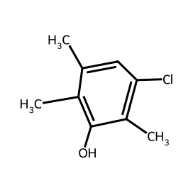 Cc1cc(Cl)c(C)c(O)c1C